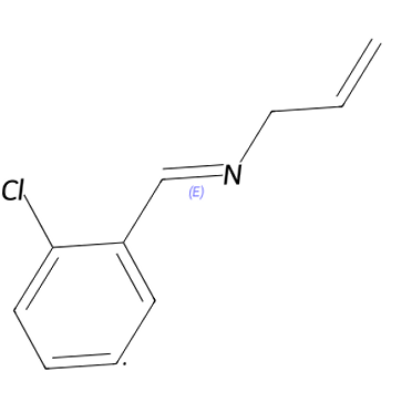 C=CC/N=C/c1c[c]ccc1Cl